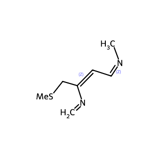 C=N/C(=C\C=N/C)CSC